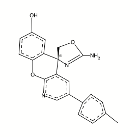 Cc1ccc(-c2cnc3c(c2)[C@]2(COC(N)=N2)c2cc(O)ccc2O3)cc1